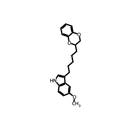 COc1ccc2[nH]cc(CCC[CH]CC3COc4ccccc4O3)c2c1